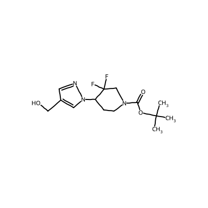 CC(C)(C)OC(=O)N1CCC(n2cc(CO)cn2)C(F)(F)C1